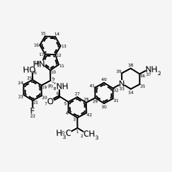 CC(C)c1cc(C(=O)N[C@@H](c2cc3ccccc3[nH]2)c2cc(F)ccc2O)cc(-c2ccc(N3CCC(N)CC3)cc2)c1